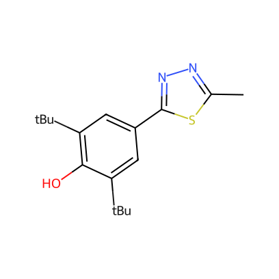 Cc1nnc(-c2cc(C(C)(C)C)c(O)c(C(C)(C)C)c2)s1